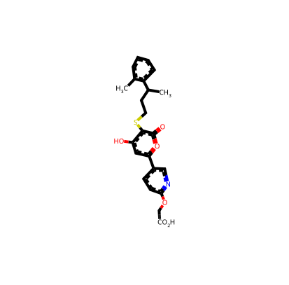 Cc1ccccc1C(C)CCSc1c(O)cc(-c2ccc(OCC(=O)O)nc2)oc1=O